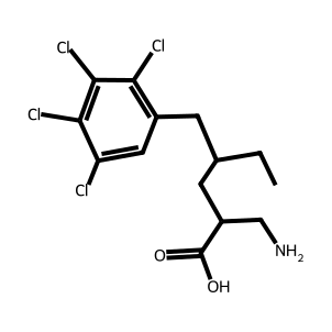 CCC(Cc1cc(Cl)c(Cl)c(Cl)c1Cl)CC(CN)C(=O)O